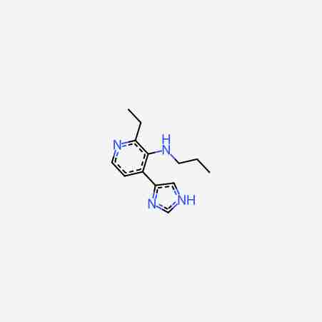 CCCNc1c(-c2c[nH]cn2)ccnc1CC